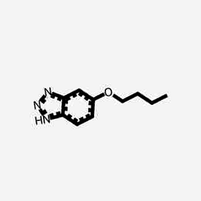 CCCCOc1ccc2[nH]nnc2c1